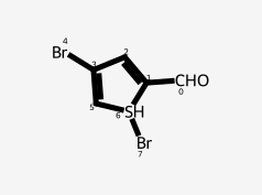 O=CC1=CC(Br)=C[SH]1Br